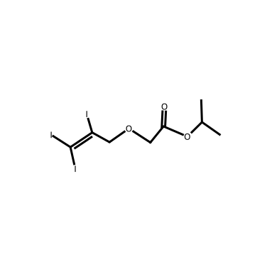 CC(C)OC(=O)COCC(I)=C(I)I